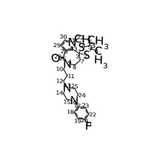 CCSC1(SCC)CCN(CCCN2CCN(c3ccc(F)cc3)CC2)C(=O)c2ccn(C)c21